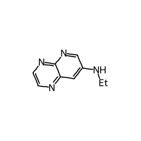 CCNc1cnc2nccnc2c1